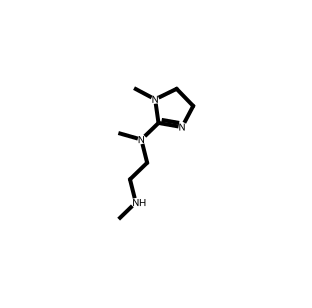 CNCCN(C)C1=NCCN1C